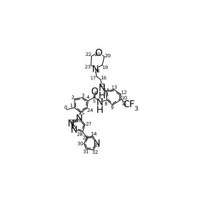 Cc1ccc(C(=O)Nc2cc(C(F)(F)F)ccc2NCCN2CCOCC2)cc1-n1cc(-c2cccnc2)nn1